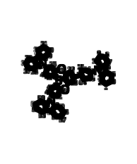 c1ccc2c(c1)c1ccccc1n2-c1ccc(-c2cc3c4c(c2)Oc2cc(-n5c6ccccc6c6ccccc65)ccc2B4c2ccc(-n4c5ccccc5c5ccccc54)cc2O3)cc1